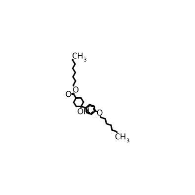 CCCCCCCCOC(=O)C1CCC(O)(c2ccc(OCCCCCCC)cc2)CC1